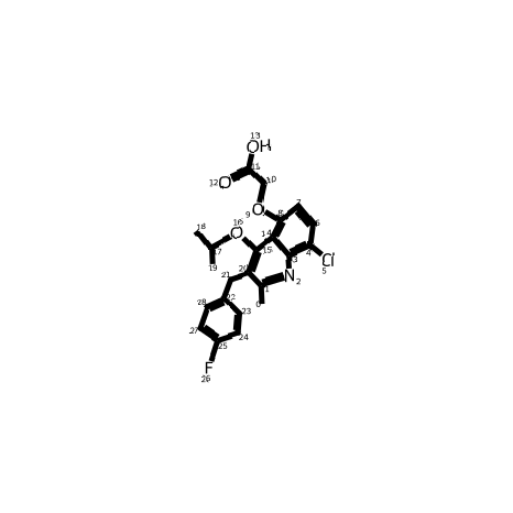 Cc1nc2c(Cl)ccc(OCC(=O)O)c2c(OC(C)C)c1Cc1ccc(F)cc1